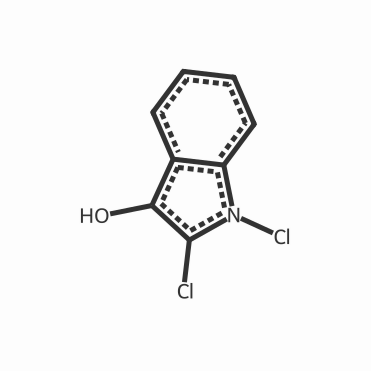 Oc1c(Cl)n(Cl)c2ccccc12